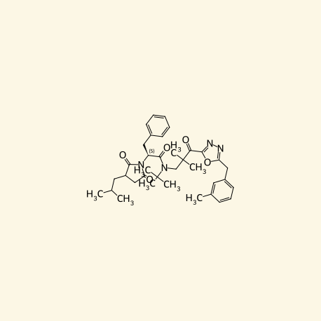 Cc1cccc(Cc2nnc(C(=O)C(C)(C)CN(C(=O)[C@H](Cc3ccccc3)N3C(=O)CC(CC(C)C)C3=O)C(C)(C)C)o2)c1